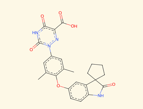 Cc1cc(-n2nc(C(=O)O)c(=O)[nH]c2=O)cc(C)c1Oc1ccc2c(c1)C1(CCCC1)C(=O)N2